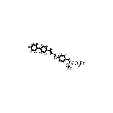 CCOC(=O)[C@H](Cc1ccc(OCC=Cc2ccc(-c3ccccc3)cc2)cc1)OCC